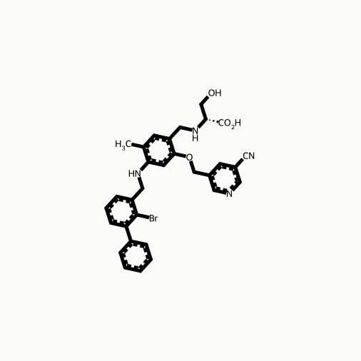 Cc1cc(CN[C@H](CO)C(=O)O)c(OCc2cncc(C#N)c2)cc1NCc1cccc(-c2ccccc2)c1Br